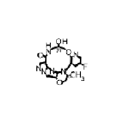 C[C@@H]1COc2cn3ncc4c3nc2N1Cc1cc(F)cnc1OC[C@H](O)CNC4=O